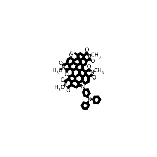 Cn1c(=O)c2cc(Cl)c3c4c(Cl)cc5c(=O)n(C)c(=O)c6c5c4c4c5c(cc(c1=O)c2c35)c1c2c(=O)n(C)c(=O)c3cc5c7c(c32)c2c3c(cc8c(=O)n(C)c(=O)c9cc(c7c3c89)n5-c3ccc(N(c5ccccc5)c5ccccc5)cc3)c6c4c12